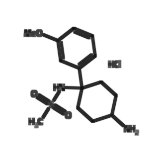 COc1cccc(C2(NS(C)(=O)=O)CCC(N)CC2)c1.Cl